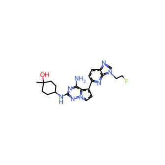 CC1(O)CCC(Nc2nc(N)c3c(-c4ccc5ncn(CCF)c5n4)ccn3n2)CC1